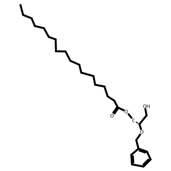 CCCCCCCCCCCCCCCCCC(=O)OC[C@H](CO)OCc1ccccc1